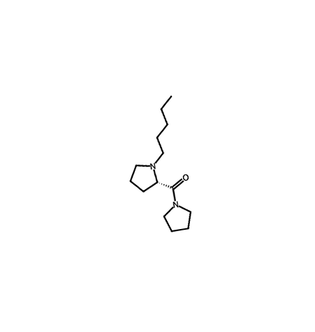 CCCCCN1CCC[C@H]1C(=O)N1CCCC1